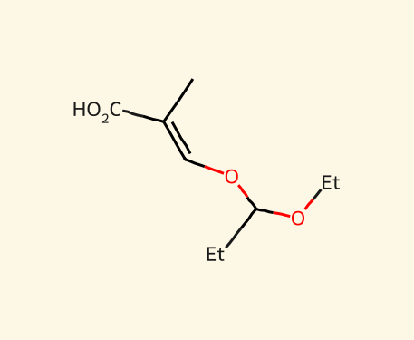 CCOC(CC)OC=C(C)C(=O)O